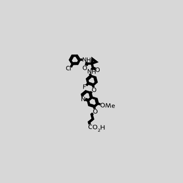 COc1cc2c(Oc3ccc(NC(=O)C4(C(=O)Nc5cccc(Cl)c5)CC4)cc3F)ccnc2cc1OCCCC(=O)O